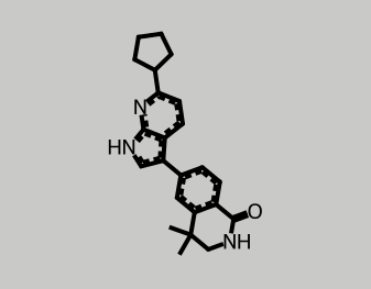 CC1(C)CNC(=O)c2ccc(-c3c[nH]c4nc(C5CCCC5)ccc34)cc21